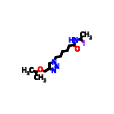 CC(I)NC(=O)CCCCCn1cc(COC(C)C)nn1